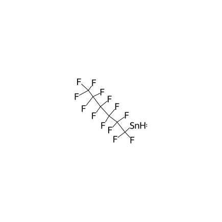 FC(F)(F)C(F)(F)C(F)(F)C(F)(F)C(F)(F)[C](F)(F)[SnH]